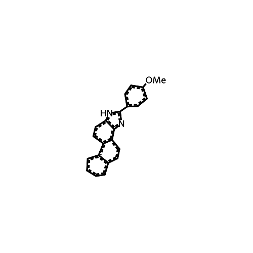 COc1ccc(-c2nc3c(ccc4c5ccccc5ccc43)[nH]2)cc1